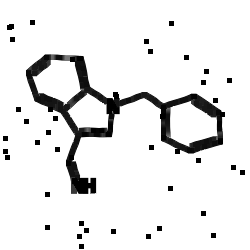 N=Cc1cn(Cc2ccccc2)c2ccccc12